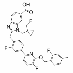 Cc1ccc(COc2nc(-c3ccc(Cc4nc5ccc(C(=O)O)cc5n4CC4(CF)CC4)c(F)c3)ccc2F)c(F)c1